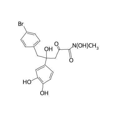 CN(O)C(=O)C(=O)CC(O)(Cc1ccc(Br)cc1)c1ccc(O)c(O)c1